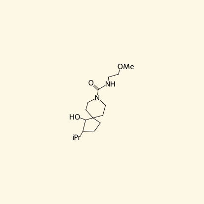 COCCNC(=O)N1CCC2(CCC(C(C)C)C2O)CC1